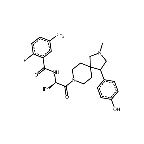 CC(C)[C@@H](NC(=O)c1cc(C(F)(F)F)ccc1F)C(=O)N1CCC2(CC1)CN(C)CC2c1ccc(O)cc1